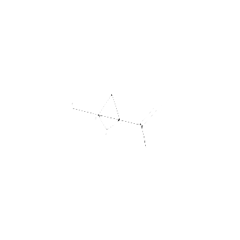 CC(=O)C12CC1(C)C2